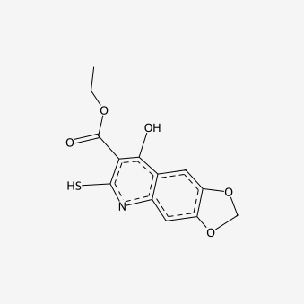 CCOC(=O)c1c(S)nc2cc3c(cc2c1O)OCO3